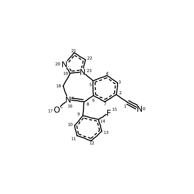 N#Cc1ccc2c(c1)C(c1ccccc1F)=[N+]([O-])Cc1nccn1-2